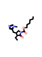 CCCCCCOC(=O)N1CC(Cc2cncn2C)C(CC)C1=O